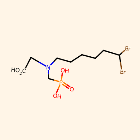 O=C(O)CN(CCCCCC(Br)Br)CP(=O)(O)O